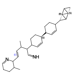 CC(/C=C/C1N=CCCC1C)C(C=N)C1C=C[C@H](C2C=CC(C3C4[C@]56CC5[C@]346)CC2)CC1